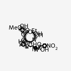 CC[C@H]1OC(=O)[C@H](C)[C@@H](O[C@H]2C[C@@](C)(OC)[C@@H](O)[C@H](C)O2)[C@H](C)[C@@H](O[C@@H]2O[C@H](C)C[C@H](N(C)CCCc3cn([C@H](CO)[C@H](O)c4ccc([N+](=O)[O-])cc4)nn3)[C@H]2O)[C@](C)(O)C[C@@H](C)CN(C)[C@H](C)[C@@H](O)[C@]1(C)O